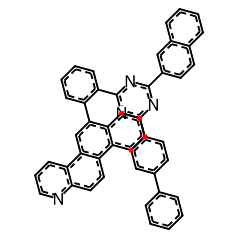 c1ccc(-c2ccc(-c3nc(-c4ccc5ccccc5c4)nc(-c4ccccc4-c4cc5c6cccnc6ccc5c5ccccc45)n3)cc2)cc1